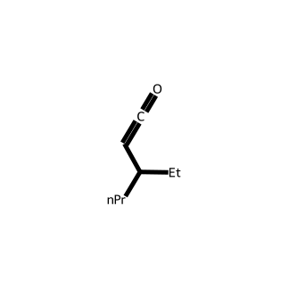 CCCC(C=C=O)CC